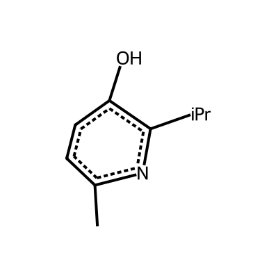 Cc1ccc(O)c(C(C)C)n1